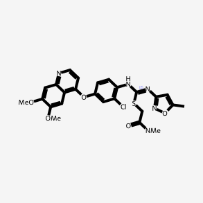 CNC(=O)CS/C(=N\c1cc(C)on1)Nc1ccc(Oc2ccnc3cc(OC)c(OC)cc23)cc1Cl